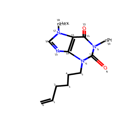 C=CCCCCn1c(=O)n(CCC)c(=O)c2c1ncn2CCCCCC